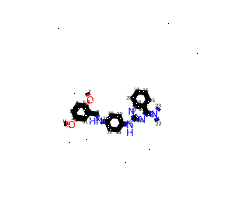 COc1ccc(OC)c(CNC2CCC(Nc3nc4c(c(N(C)C)n3)CCCC4)CC2)c1